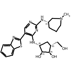 CN1CCC[C@H](Nc2ncc(-c3nc4ccccc4s3)c(N[C@@H]3C[C@H](CO)[C@@H](O)[C@H]3O)n2)C1